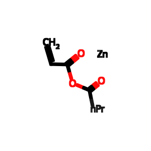 C=CC(=O)OC(=O)CCC.[Zn]